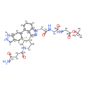 Cn1ncc2cc(F)c(-c3cccc4c3c(C3CCN(C(=O)CCC(N)=O)CC3)nn4CC(=O)NCC(=O)NCC(=O)OC(C)(C)C)cc21